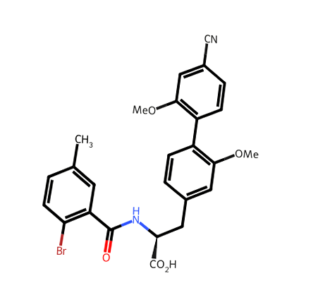 COc1cc(C#N)ccc1-c1ccc(C[C@H](NC(=O)c2cc(C)ccc2Br)C(=O)O)cc1OC